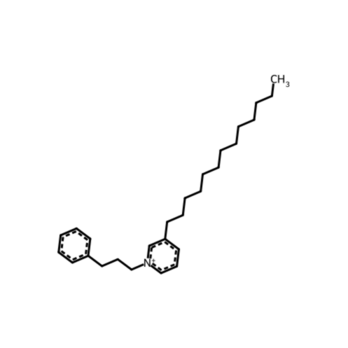 CCCCCCCCCCCCCc1ccc[n+](CCCc2ccccc2)c1